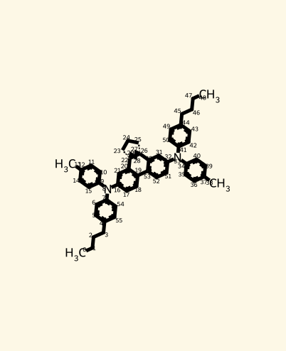 CCCCc1ccc(N(c2ccc(C)cc2)c2ccc3c(c2)[C@]24CCC[C@]2(CCC4)c2cc(N(c4ccc(C)cc4)c4ccc(CCCC)cc4)ccc2-3)cc1